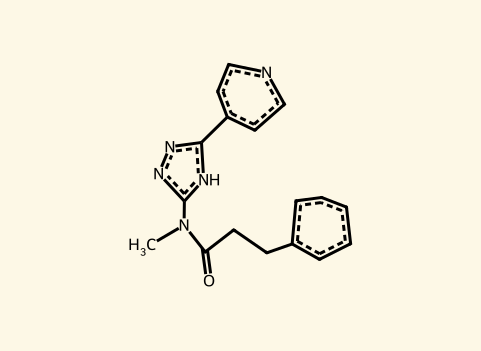 CN(C(=O)CCc1ccccc1)c1nnc(-c2ccncc2)[nH]1